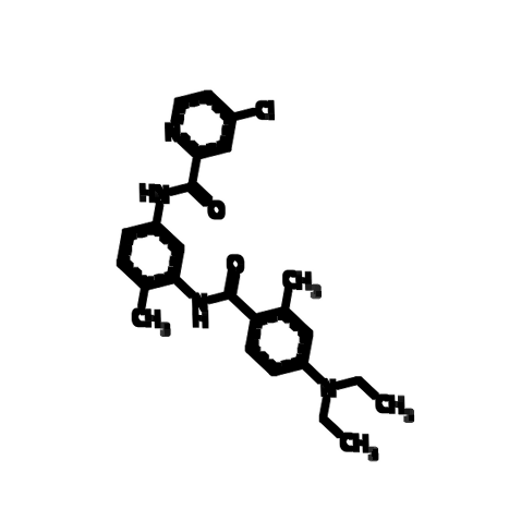 CCN(CC)c1ccc(C(=O)Nc2cc(NC(=O)c3cc(Cl)ccn3)ccc2C)c(C)c1